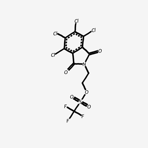 O=C1c2c(Cl)c(Cl)c(Cl)c(Cl)c2C(=O)N1CCOS(=O)(=O)C(F)(F)F